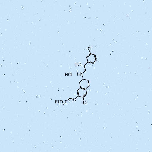 CCOC(=O)COc1cc2c(cc1Cl)CCC(NC[C@H](O)c1cccc(Cl)c1)C2.Cl